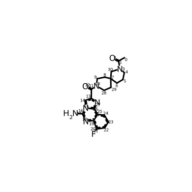 CC(=O)N1CCCC2(CCN(C(=O)c3cn4c(N)nc5c(F)cccc5c4n3)CC2)C1